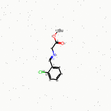 CC(C)(C)OC(=O)C/N=C/c1ccccc1Cl